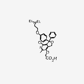 CCN(CC)CCOc1ccc(C2(c3ccccc3)OCc3c(OCC(=O)O)c(C)nc(Cl)c32)cc1